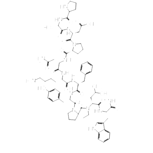 CC(C)C[C@@H](C(=O)N[C@@H](Cc1c[nH]c2ccccc12)C(N)=O)N1CC[C@@]2(CCCN2C(=O)[C@H](Cc2ccc(O)cc2)NC(=O)[C@H](Cc2ccccc2)NC(=O)[C@H](CCCCN)NC(=O)[C@H](CC(N)=O)NC(=O)[C@@H]2CCCN2C(=O)[C@H](CC(=O)O)NC(=O)[C@H](C)NC(=O)C2CCCN2)C1=O